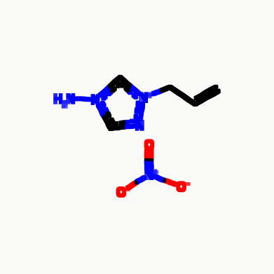 C=CC[n+]1cn(N)cn1.O=[N+]([O-])[O-]